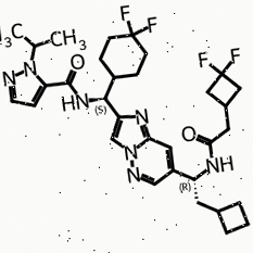 CC(C)n1nccc1C(=O)N[C@H](c1cn2ncc([C@@H](CC3CCC3)NC(=O)CC3CC(F)(F)C3)cc2n1)C1CCC(F)(F)CC1